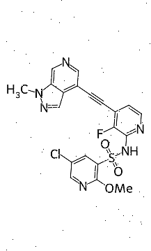 COc1ncc(Cl)cc1S(=O)(=O)Nc1nccc(C#Cc2cncc3c2cnn3C)c1F